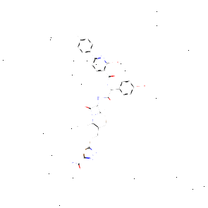 Cc1ccc(-c2ccc(C(=O)NC(C(=O)NC3C(=O)N4C(C(=O)[O-])=C(CSc5nnc(C(=O)NO)s5)CS[C@@H]34)c3ccc(O)cc3)c(O)n2)cc1.[K+]